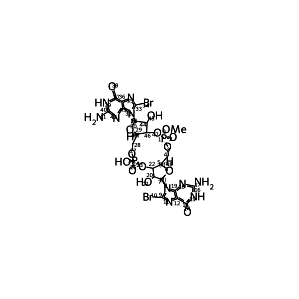 COP1(=O)OC[C@H]2O[C@@H](n3c(Br)nc4c(=O)[nH]c(N)nc43)C(O)C2OP(=O)(O)OC[C@H]2O[C@@H](n3c(Br)nc4c(=O)[nH]c(N)nc43)C(O)C2O1